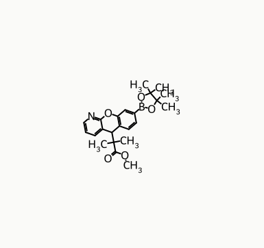 COC(=O)C(C)(C)C1c2ccc(B3OC(C)(C)C(C)(C)O3)cc2Oc2ncccc21